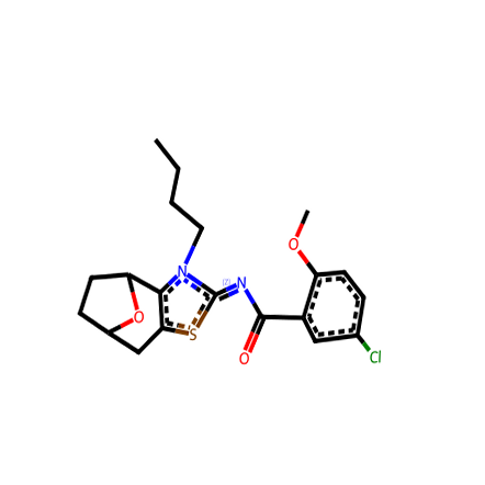 CCCCn1c2c(s/c1=N\C(=O)c1cc(Cl)ccc1OC)CC1CCC2O1